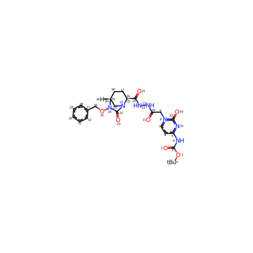 CC(C)(C)OC(=O)Nc1ccn(CC(=O)NNC(=O)[C@@H]2CC[C@@H]3CN2C(=O)N3OCc2ccccc2)c(=O)n1